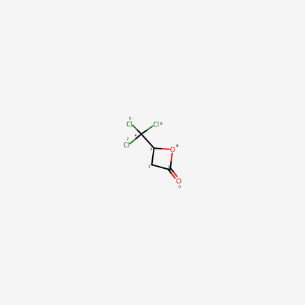 O=C1CC(C(Cl)(Cl)Cl)O1